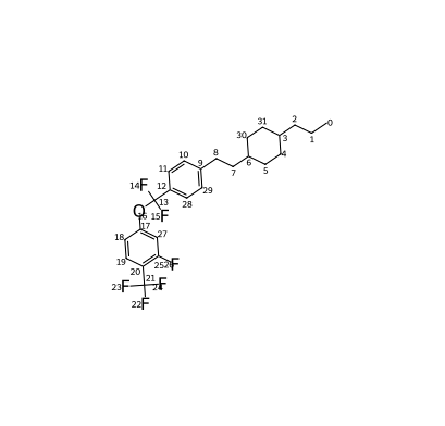 CCCC1CCC(CCc2ccc(C(F)(F)Oc3ccc(C(F)(F)F)c(F)c3)cc2)CC1